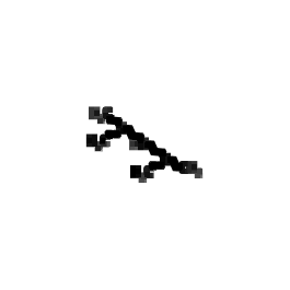 C=CCN(CC=C)CCCNCCCN(CC=C)CC=C